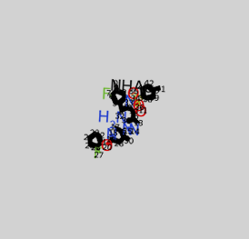 CC(=O)Nc1cc2c(cc1F)cc(C(=O)c1cnn(-c3cnc(Oc4ccccc4F)cc3C)c1N)n2S(=O)(=O)c1ccc(C)cc1